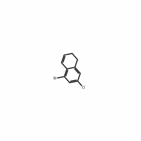 Clc1cc(Br)c2c(c1)CCC=C2